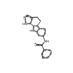 O=C(Nc1ccc2c3c([nH]c2c1)-c1[nH]ncc1CC3)c1ccccc1